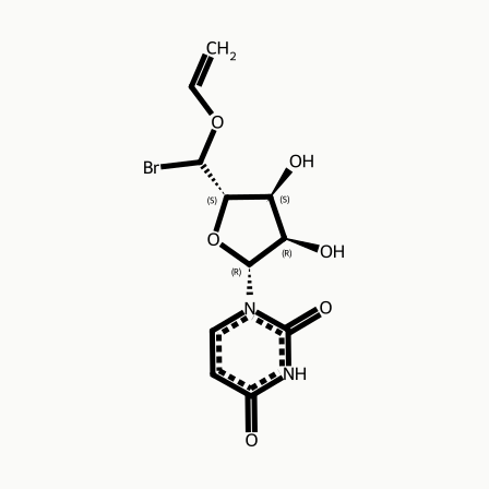 C=COC(Br)[C@H]1O[C@@H](n2ccc(=O)[nH]c2=O)[C@H](O)[C@@H]1O